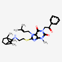 CC(C)=CCn1c(SCCNC2CC3CCC2(C)C3(C)C)nc2c1c(=O)n(CC(=O)c1ccccc1)c(=O)n2C